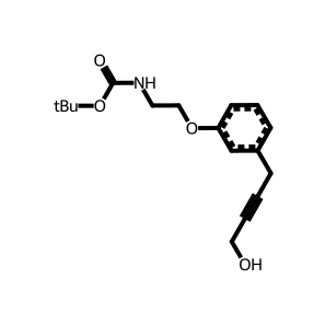 CC(C)(C)OC(=O)NCCOc1cccc(CC#CCO)c1